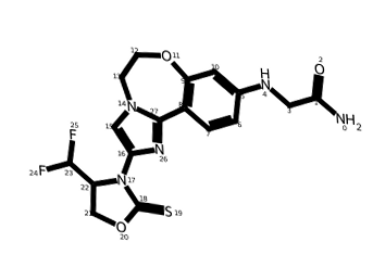 NC(=O)CNc1ccc2c(c1)OCCn1cc(N3C(=S)OCC3C(F)F)nc1-2